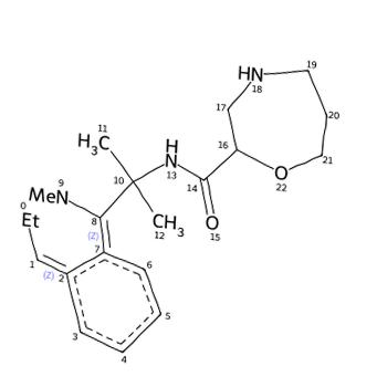 CC/C=c1/cccc/c1=C(/NC)C(C)(C)NC(=O)C1CNCCCO1